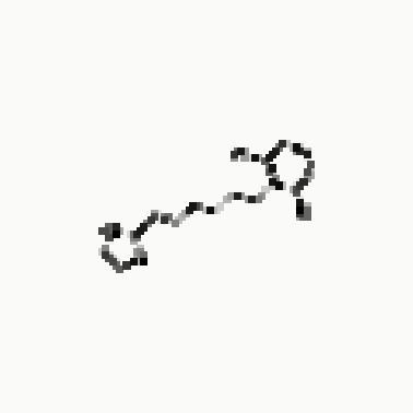 Clc1cccc(Cl)c1CCCCC=Cc1ncc[nH]1